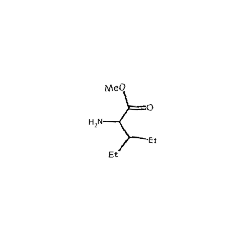 CCC(CC)C(N)C(=O)OC